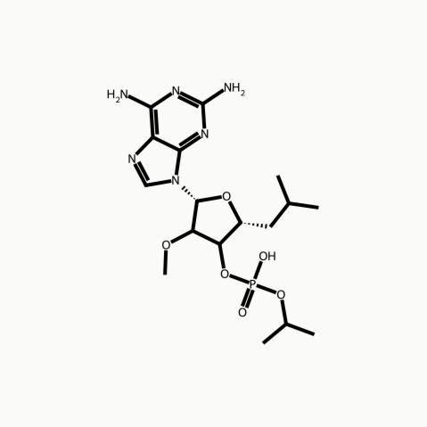 COC1C(OP(=O)(O)OC(C)C)[C@@H](CC(C)C)O[C@H]1n1cnc2c(N)nc(N)nc21